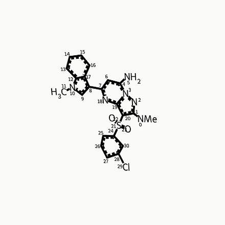 CNc1nn2c(N)cc(-c3cn(C)c4ccccc34)nc2c1S(=O)(=O)c1cccc(Cl)c1